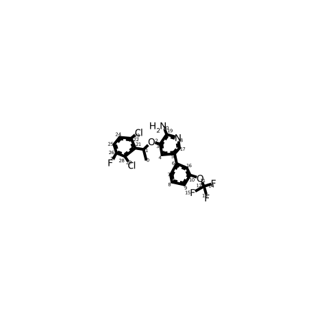 CC(Oc1cc(-c2cccc(OC(F)(F)F)c2)cnc1N)c1c(Cl)ccc(F)c1Cl